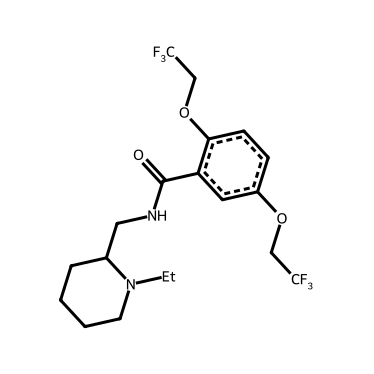 CCN1CCCCC1CNC(=O)c1cc(OCC(F)(F)F)ccc1OCC(F)(F)F